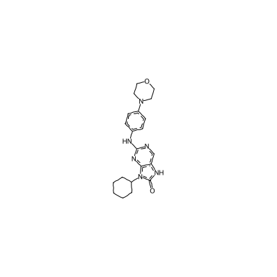 O=c1[nH]c2cnc(Nc3ccc(N4CCOCC4)cc3)nc2n1C1CCCCC1